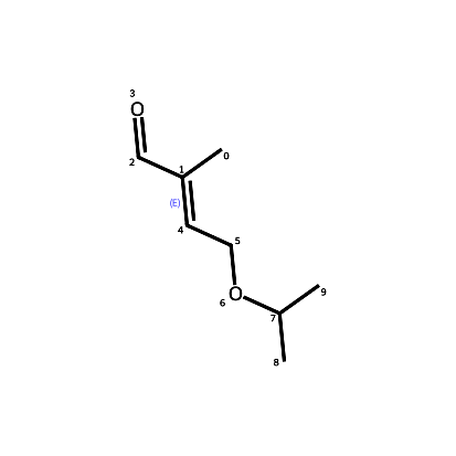 C/C(C=O)=C\COC(C)C